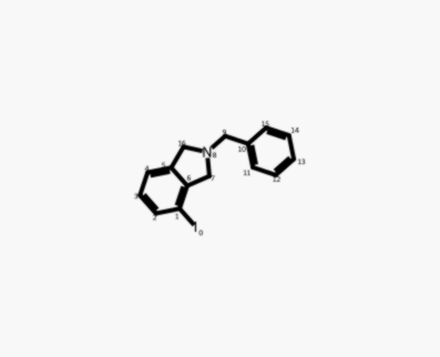 Ic1cccc2c1CN(Cc1ccccc1)C2